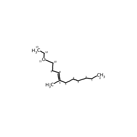 CCCCCCC(C)=CCCOCC